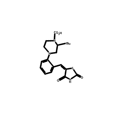 CC(C)(C)C1CN(c2ccccc2C=C2SC(=O)NC2=O)CCN1C(=O)O